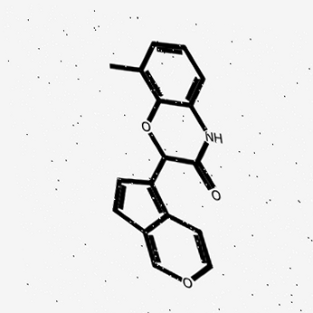 Cc1cccc2c1OC(c1ccc3coccc1-3)C(=O)N2